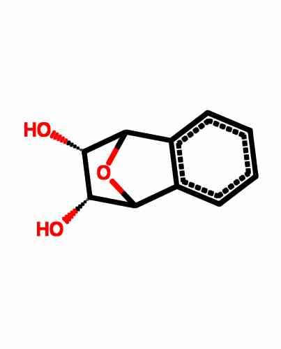 O[C@@H]1C2OC(c3ccccc32)[C@@H]1O